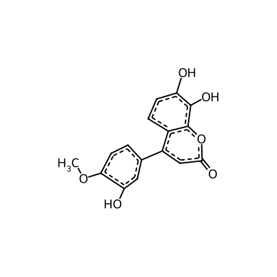 COc1ccc(-c2cc(=O)oc3c(O)c(O)ccc23)cc1O